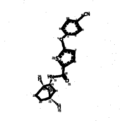 N#Cc1ccc(Oc2ccc(C(=O)N[C@@H]3C[C@H]4CC[C@@H]3N4)s2)cc1